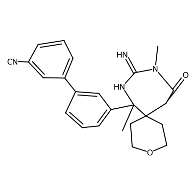 [C-]#[N+]c1cccc(-c2cccc(C3(C)NC(=N)N(C)C(=O)CC34CCOCC4)c2)c1